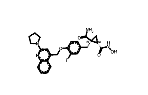 NC(=O)[C@@]1(Cc2ccc(OCc3cc(N4CCCC4)nc4ccccc34)c(F)c2)C[C@@H]1C(=O)NO